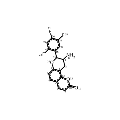 NC1Cc2c(ccc3ccc(=O)oc23)OC1c1cc(F)c(F)cc1F